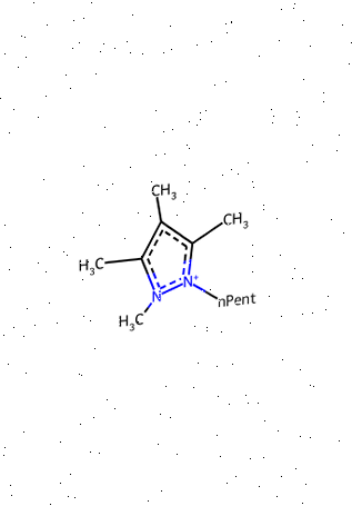 CCCCC[n+]1c(C)c(C)c(C)n1C